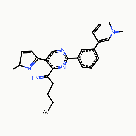 C=C/C(=C\N(C)C)c1cccc(-c2ncc(C3=NC(C)C=C3)c(C(=N)CCCC(C)=O)n2)c1